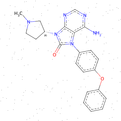 CN1CC[C@@H](n2c(=O)n(-c3ccc(Oc4ccccc4)cc3)c3c(N)ncnc32)C1